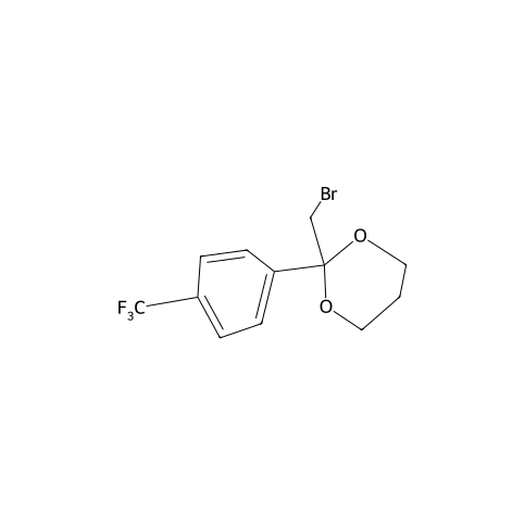 FC(F)(F)c1ccc(C2(CBr)OCCCO2)cc1